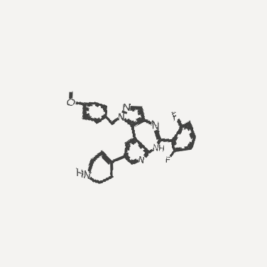 COc1ccc(Cn2ncc3c2-c2cc(C4=CCNCC4)cnc2NC(c2c(F)cccc2F)=N3)cc1